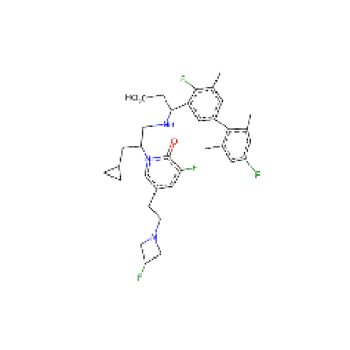 Cc1cc(-c2c(C)cc(F)cc2C)cc(C(CC(=O)O)NCC(CC2CC2)n2cc(CCN3CC(F)C3)cc(F)c2=O)c1F